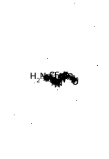 CC1(COc2ccc3ccc(-c4nnc5ccc([C@@H](N6CC[C@H](N)C6)C(F)(F)F)cn45)nc3c2)COC1